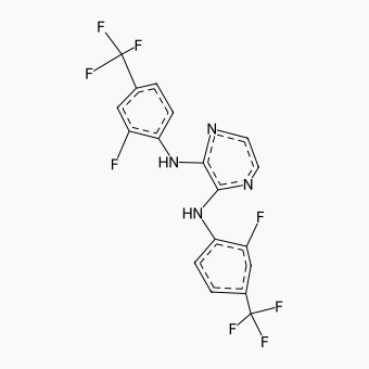 Fc1cc(C(F)(F)F)ccc1Nc1nccnc1Nc1ccc(C(F)(F)F)cc1F